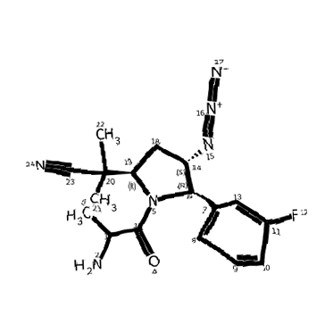 CC(N)C(=O)N1[C@H](c2cccc(F)c2)[C@@H](N=[N+]=[N-])C[C@@H]1C(C)(C)C#N